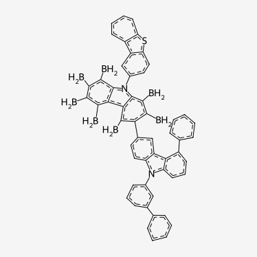 Bc1c(B)c(B)c2c(c1B)c1c(B)c(-c3ccc4c(c3)c3c(-c5ccccc5)cccc3n4-c3cccc(-c4ccccc4)c3)c(B)c(B)c1n2-c1ccc2sc3ccccc3c2c1